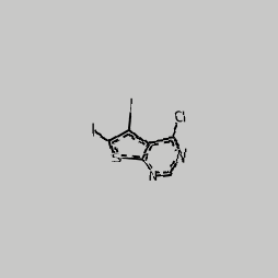 Clc1ncnc2sc(I)c(I)c12